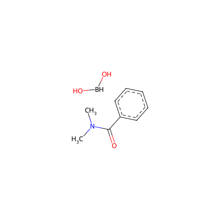 CN(C)C(=O)c1ccccc1.OBO